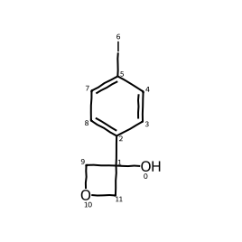 OC1(c2ccc(I)cc2)COC1